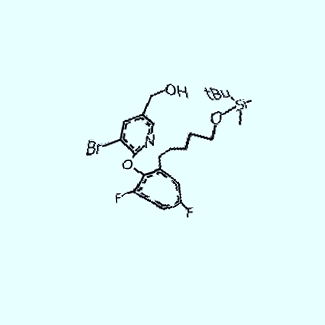 CC(C)(C)[Si](C)(C)OCCCCc1cc(F)cc(F)c1Oc1ncc(CO)cc1Br